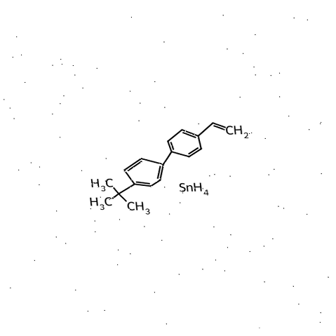 C=Cc1ccc(-c2ccc(C(C)(C)C)cc2)cc1.[SnH4]